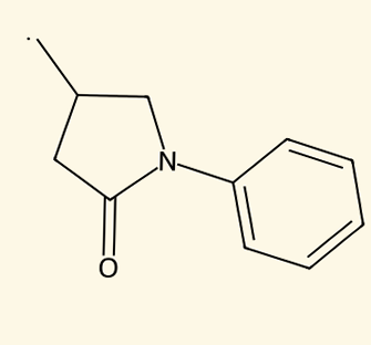 [CH2]C1CC(=O)N(c2ccccc2)C1